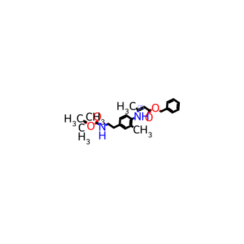 C/C(=C/C(=O)OCc1ccccc1)Nc1ccc(CCNC(=O)OC(C)(C)C)cc1C